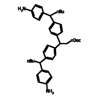 CCCCCCCCCCCC(c1ccc(C(CCCC)c2ccc(N)cc2)cc1)c1ccc(C(CCCC)c2ccc(N)cc2)cc1